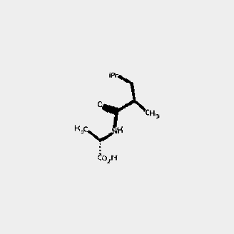 CC(C)CC(C)C(=O)N[C@@H](C)C(=O)O